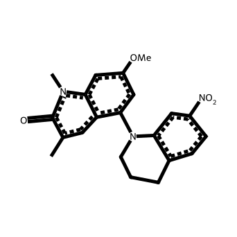 COc1cc(N2CCCc3ccc([N+](=O)[O-])cc32)c2cc(C)c(=O)n(C)c2c1